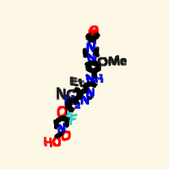 CC/C(=C(/N=C\N)C(\C)=C\C(C)(C#N)/C=C(\C)OC1CCN(C(=O)CO)CC1(F)F)C(C)NCc1ccc(N2CCN(C3COC3)CC2)c(OC)c1